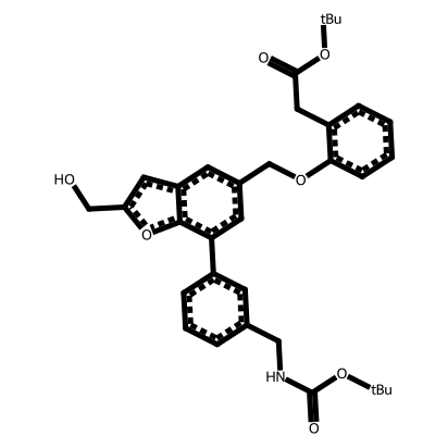 CC(C)(C)OC(=O)Cc1ccccc1OCc1cc(-c2cccc(CNC(=O)OC(C)(C)C)c2)c2oc(CO)cc2c1